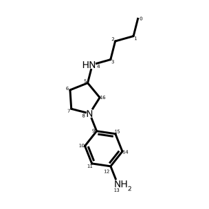 CCCCNC1CCN(c2ccc(N)cc2)C1